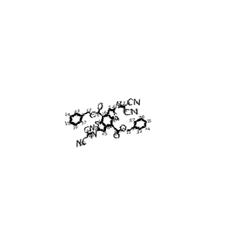 N#CC(C#N)=Nc1cc2c(C(=O)OCc3ccccc3)c3sc(N=C(C#N)C#N)cc3c(C(=O)OCc3ccccc3)c2s1